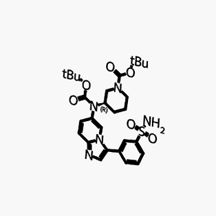 CC(C)(C)OC(=O)N1CCC[C@@H](N(C(=O)OC(C)(C)C)c2ccc3ncc(-c4cccc(S(N)(=O)=O)c4)n3c2)C1